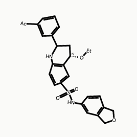 CCO[C@H]1CC(c2cccc(C(C)=O)c2)Nc2ccc(S(=O)(=O)Nc3ccc4c(c3)COC4)cc21